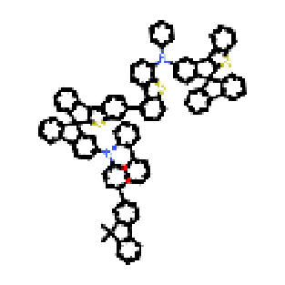 CC1(C)c2ccccc2-c2ccc(-c3ccc(N(c4ccc5c(c4)C4(c6ccccc6-5)c5ccccc5-c5c4sc4cc(-c6cccc7sc8c(N(c9ccccc9)c9ccc%10c(c9)-c9c(sc%11ccccc9%11)C%109c%10ccccc%10-c%10ccccc%109)cccc8c67)ccc54)c4ccccc4-c4ccccc4)cc3)cc21